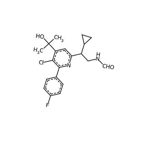 CC(C)(O)c1cc(C(CNC=O)C2CC2)nc(-c2ccc(F)cc2)c1Cl